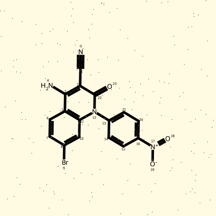 N#Cc1c(N)c2ccc(Br)cc2n(-c2ccc([N+](=O)[O-])cc2)c1=O